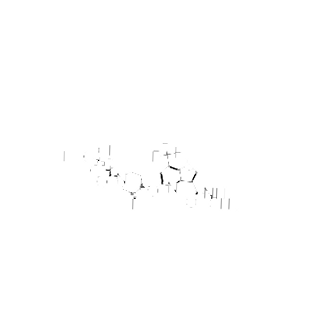 CNC(=O)c1csc2c(C(F)(F)F)cc(O[C@H]3CCN(C(=O)OC(C)(C)C)C[C@H]3F)nc12